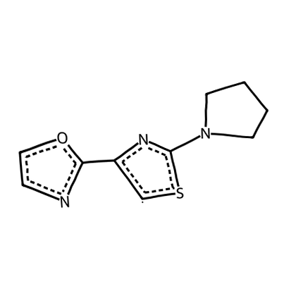 [c]1sc(N2CCCC2)nc1-c1ncco1